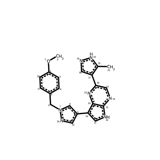 COc1ccc(Cn2cc(-c3c[nH]c4ncc(-c5cn[nH]c5C)nc34)cn2)cc1